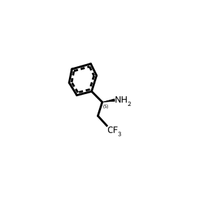 N[C@@H](CC(F)(F)F)c1ccccc1